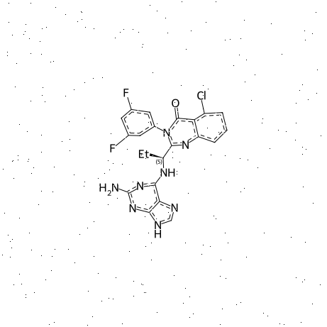 CC[C@H](Nc1nc(N)nc2[nH]cnc12)c1nc2cccc(Cl)c2c(=O)n1-c1cc(F)cc(F)c1